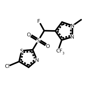 Cn1cc(C(F)S(=O)(=O)c2ncc(Cl)s2)c(C(F)(F)F)n1